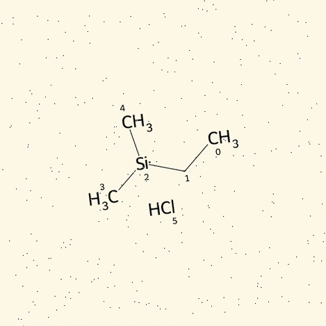 CC[Si](C)C.Cl